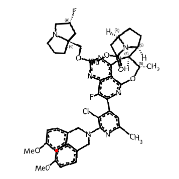 COc1ccc(CN(Cc2ccc(OC)cc2)c2nc(C)cc(-c3nc4c5c(nc(OC[C@@]67CCCN6C[C@H](F)C7)nc5c3F)N3C[C@H]5CC[C@@H]([C@H]3[C@H](C)O4)N5C(=O)OC(C)(C)C)c2Cl)cc1